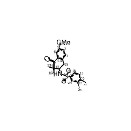 COc1ccc2c(c1)C(=O)C(C)(C)C(NS(=O)(=O)c1ccc(C)c(C)c1)C2